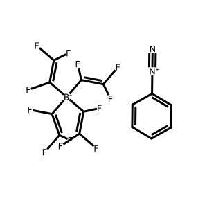 FC(F)=C(F)[B-](C(F)=C(F)F)(C(F)=C(F)F)C(F)=C(F)F.N#[N+]c1ccccc1